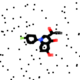 COC(=O)c1cn(-c2ccc(F)cc2)c2ccc(O)cc2c1=O